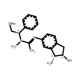 COC[C@@H](c1ccccc1)N(C)C(C)=Nc1ccc2c(c1)[C@@H](N)[C@H](O)C2